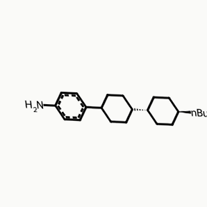 CCCC[C@H]1CC[C@H](C2CCC(c3ccc(N)cc3)CC2)CC1